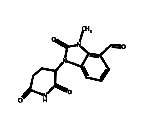 Cn1c(=O)n(C2CCC(=O)NC2=O)c2cccc(C=O)c21